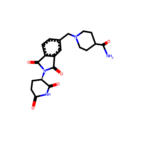 NC(=O)C1CCN(Cc2ccc3c(c2)C(=O)N([C@@H]2CCC(=O)NC2=O)C3=O)CC1